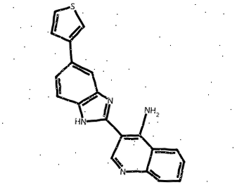 Nc1c(-c2nc3cc(-c4ccsc4)ccc3[nH]2)cnc2ccccc12